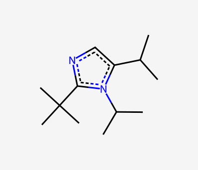 CC(C)c1cnc(C(C)(C)C)n1C(C)C